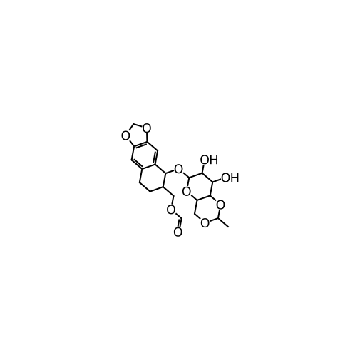 CC1OCC2OC(OC3c4cc5c(cc4CCC3COC=O)OCO5)C(O)C(O)C2O1